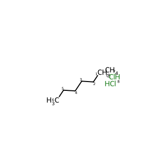 C.CCCCCC.Cl.Cl